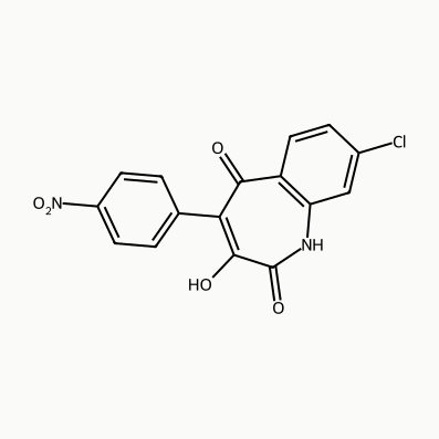 O=c1[nH]c2cc(Cl)ccc2c(=O)c(-c2ccc([N+](=O)[O-])cc2)c1O